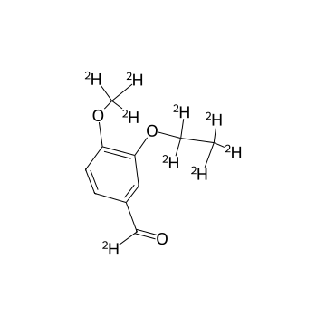 [2H]C(=O)c1ccc(OC([2H])([2H])[2H])c(OC([2H])([2H])C([2H])([2H])[2H])c1